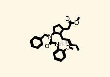 CC/C=C/CC1C(CC(=O)OC)CCC1N(Cc1ccccc1)C(=O)Nc1ccccc1OC